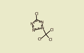 Clc1nnn(C(Cl)(Cl)Cl)n1